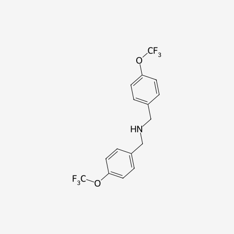 FC(F)(F)Oc1ccc(CNCc2ccc(OC(F)(F)F)cc2)cc1